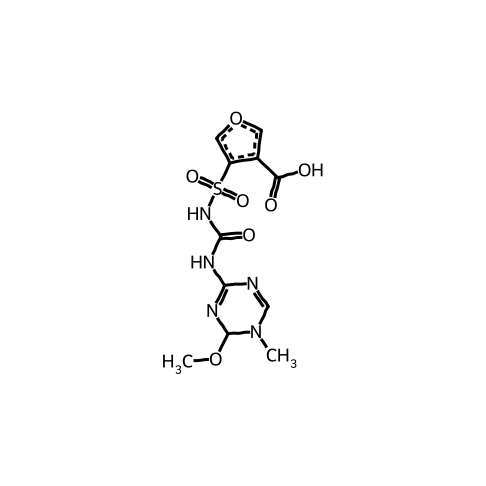 COC1N=C(NC(=O)NS(=O)(=O)c2cocc2C(=O)O)N=CN1C